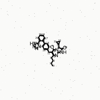 CCCCc1nc2n(c(=O)c1Cc1ccc(-c3ccccc3-c3nnn[nH]3)cc1)C(C1CC1)C(=O)N2